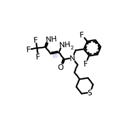 N=C(/C=C(\N)C(=O)N(CCC1CCSCC1)Cc1c(F)cccc1F)C(F)(F)F